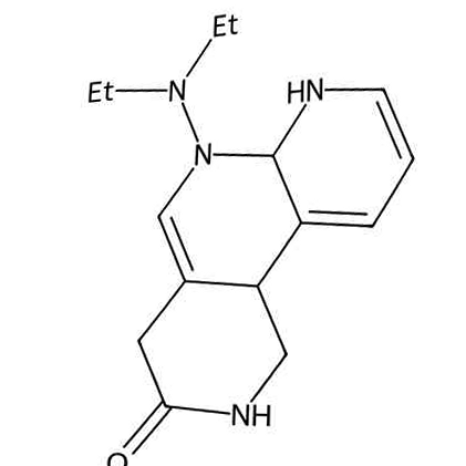 CCN(CC)N1C=C2CC(=O)NCC2C2=CC=CNC21